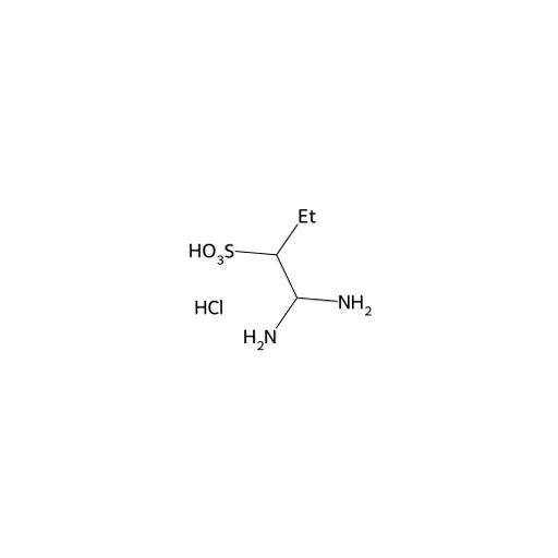 CCC(C(N)N)S(=O)(=O)O.Cl